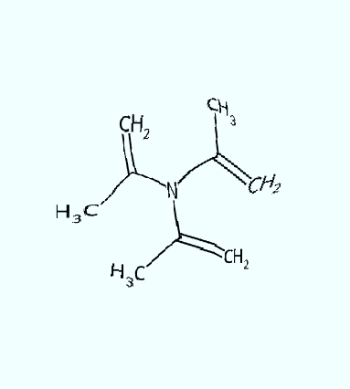 C=C(C)N(C(=C)C)C(=C)C